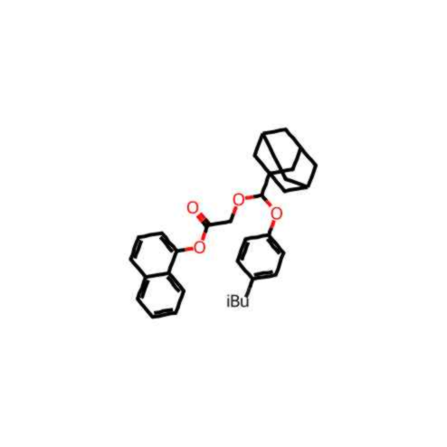 CCC(C)c1ccc(OC(OCC(=O)Oc2cccc3ccccc23)C23CC4CC(CC(C4)C2)C3)cc1